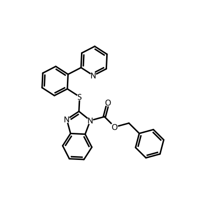 O=C(OCc1ccccc1)n1c(Sc2ccccc2-c2ccccn2)nc2ccccc21